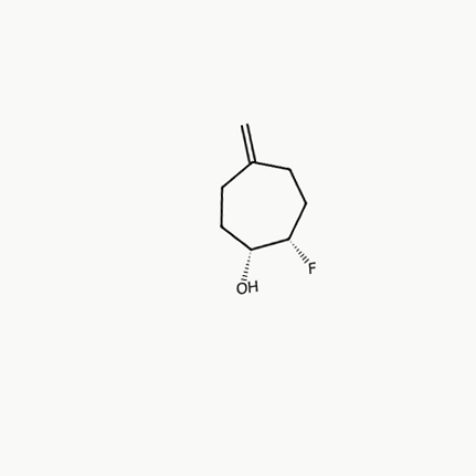 C=C1CC[C@@H](O)[C@@H](F)CC1